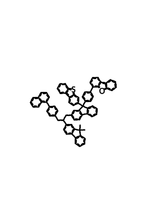 CC1(C)c2ccccc2-c2ccc(C(Cc3ccc(-c4cccc5ccccc45)cc3)Cc3ccc4c(c3)C(c3ccc(-c5cccc6c5oc5ccccc56)cc3)(c3ccc5c(c3)sc3ccccc35)c3ccccc3-4)cc21